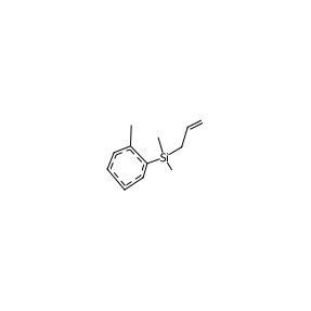 C=CC[Si](C)(C)c1ccccc1C